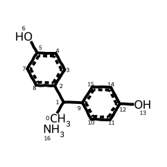 CC(c1ccc(O)cc1)c1ccc(O)cc1.N